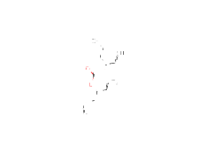 [C-]#[N+]CCC(C=C)OC(=O)OC(C=C)CC[N+]#[C-]